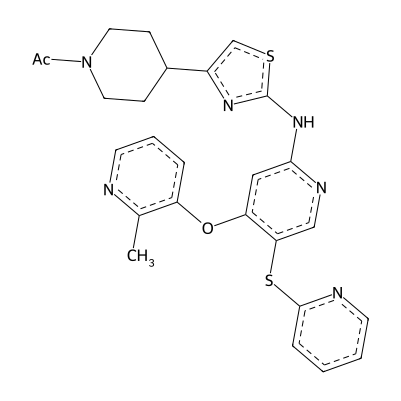 CC(=O)N1CCC(c2csc(Nc3cc(Oc4cccnc4C)c(Sc4ccccn4)cn3)n2)CC1